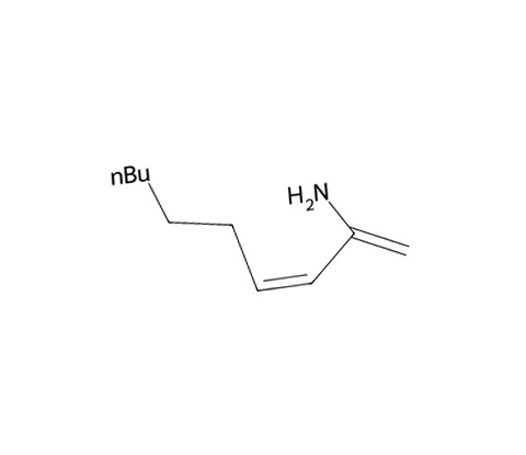 C=C(N)/C=C\CCCCCC